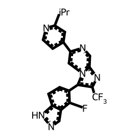 CC(C)c1cc(-c2cn3c(-c4ccc5[nH]ncc5c4F)c(C(F)(F)F)nc3cn2)ccn1